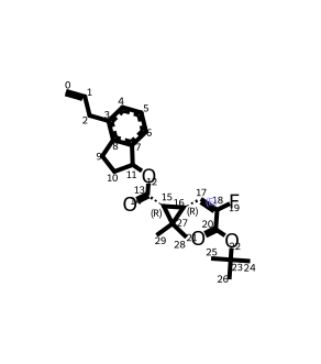 C=CCc1cccc2c1CCC2OC(=O)[C@@H]1[C@H](/C=C(/F)C(=O)OC(C)(C)C)C1(C)C